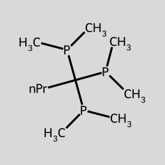 CCCC(P(C)C)(P(C)C)P(C)C